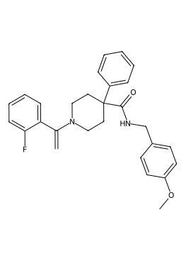 C=C(c1ccccc1F)N1CCC(C(=O)NCc2ccc(OC)cc2)(c2ccccc2)CC1